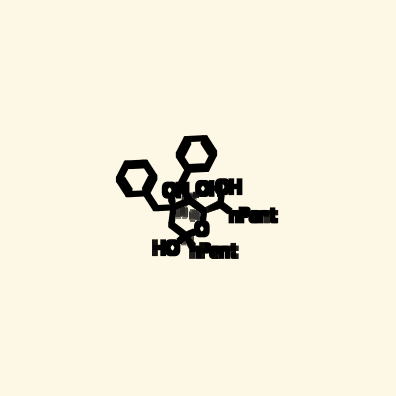 CCCCCC(O)[C@H]1O[C@@](O)(CCCCC)C[C@](O)(Cc2ccccc2)[C@@]1(O)Cc1ccccc1